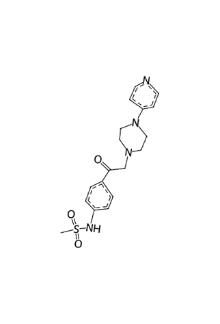 CS(=O)(=O)Nc1ccc(C(=O)CN2CCN(c3ccncc3)CC2)cc1